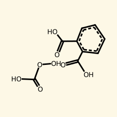 O=C(O)OO.O=C(O)c1ccccc1C(=O)O